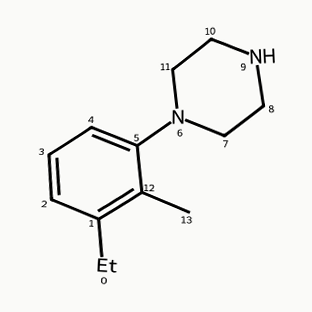 CCc1cccc(N2CCNCC2)c1C